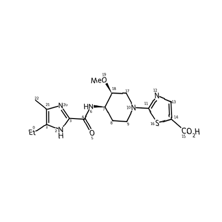 CCc1[nH]c(C(=O)N[C@@H]2CCN(c3ncc(C(=O)O)s3)C[C@@H]2OC)nc1C